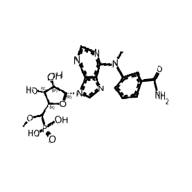 COC([C@@H]1O[C@@H](n2cnc3c(N(C)c4cccc(C(N)=O)c4)ncnc32)[C@H](O)[C@@H]1O)P(=O)(O)O